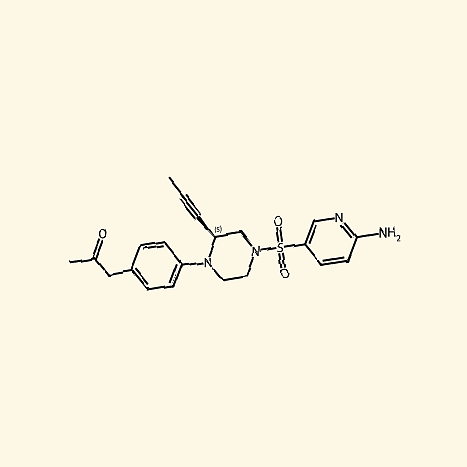 CC#C[C@H]1CN(S(=O)(=O)c2ccc(N)nc2)CCN1c1ccc(CC(C)=O)cc1